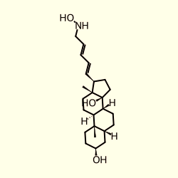 C[C@]12CC[C@H](O)C[C@H]1CC[C@@H]1[C@@H]2CC[C@]2(C)[C@@H](C=CC=CCNO)CC[C@]12O